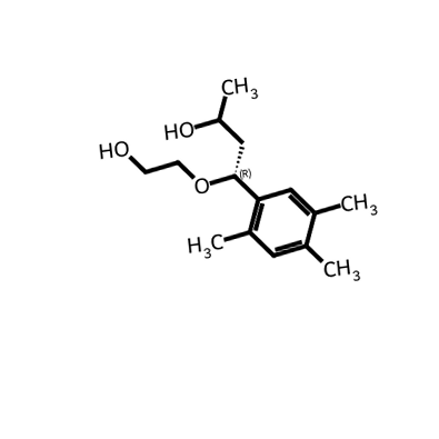 Cc1cc(C)c([C@@H](CC(C)O)OCCO)cc1C